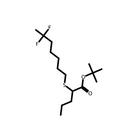 CCCC(SCCCCCC(C)(F)F)C(=O)OC(C)(C)C